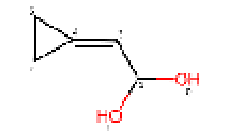 OC(O)C=C1CC1